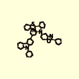 c1ccc(-c2nc3cc(N(c4cccc(-c5ccc6c(c5)c5ccccc5n6-c5ccccc5)c4)c4ccccc4-c4nc5ccccc5s4)ccc3o2)cc1